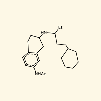 CCC(CCC1CCCCC1)NC1CCc2ccc(NC(C)=O)cc2C1